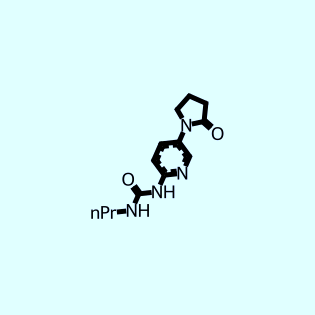 CCCNC(=O)Nc1ccc(N2CCCC2=O)cn1